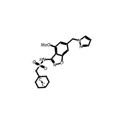 COc1cc(Cn2cccn2)cc2onc(NS(=O)(=O)CC34CCC(CC3)CC4)c12